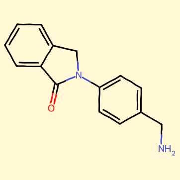 NCc1ccc(N2Cc3ccccc3C2=O)cc1